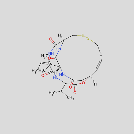 C/C=C1/NC(=O)[C@H]2CSSCC/C=C\[C@H](CC(=O)N[C@H](C(C)C)C(=O)N2)OC(=O)C(C(C)C)NC1=O